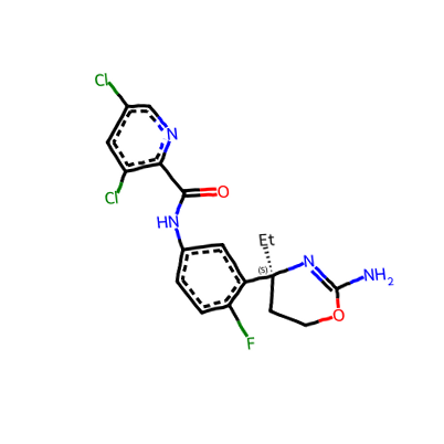 CC[C@@]1(c2cc(NC(=O)c3ncc(Cl)cc3Cl)ccc2F)CCOC(N)=N1